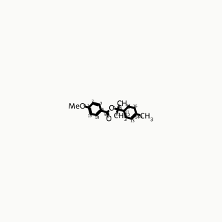 COc1ccc(C(=O)OC(C)(C)C2CC=C(C)CC2)cc1